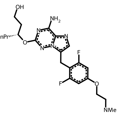 CCC[C@H](CCO)Oc1nc(N)c2ncc(Cc3c(F)cc(OCCNC)cc3F)n2n1